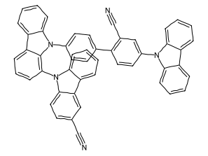 N#Cc1ccc2c(c1)c1ccccc1n2-c1cccc2c3ccccc3n(-c3ccc(-c4ccc(-n5c6ccccc6c6ccccc65)cc4C#N)cc3)c12